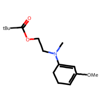 COC1=CCCC(N(C)CCOC(=O)C(C)(C)C)=C1